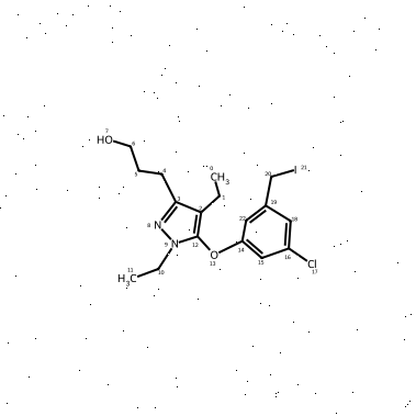 CCc1c(CCCO)nn(CC)c1Oc1cc(Cl)cc(CI)c1